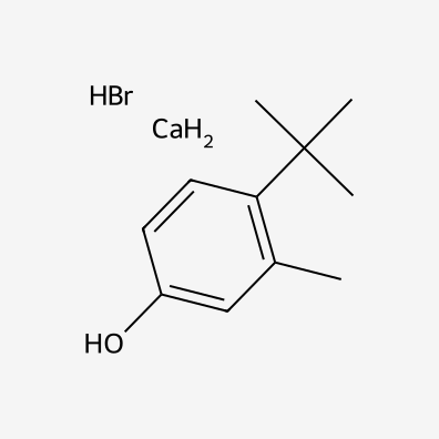 Br.Cc1cc(O)ccc1C(C)(C)C.[CaH2]